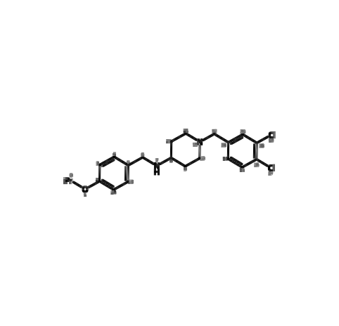 CC(C)Oc1ccc(CNC2CCN(Cc3ccc(Cl)c(Cl)c3)CC2)cc1